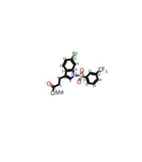 COC(=O)CCc1cn(S(=O)(=O)c2cccc(C(F)(F)F)c2)c2cc(Br)ccc12